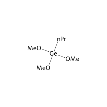 CC[CH2][Ge]([O]C)([O]C)[O]C